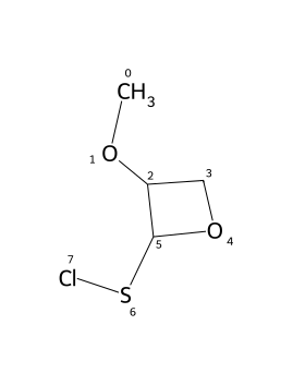 COC1COC1SCl